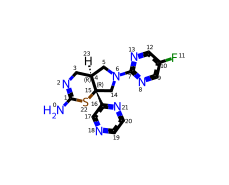 NC1=NC[C@H]2CN(c3ncc(F)cn3)C[C@]2(c2cnccn2)S1